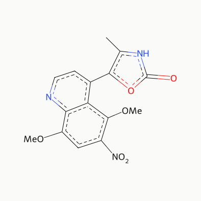 COc1cc([N+](=O)[O-])c(OC)c2c(-c3oc(=O)[nH]c3C)ccnc12